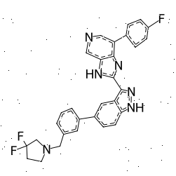 Fc1ccc(-c2cncc3[nH]c(-c4n[nH]c5ccc(-c6cccc(CN7CCC(F)(F)C7)c6)cc45)nc23)cc1